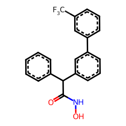 O=C(NO)C(c1ccccc1)c1cccc(-c2cccc(C(F)(F)F)c2)c1